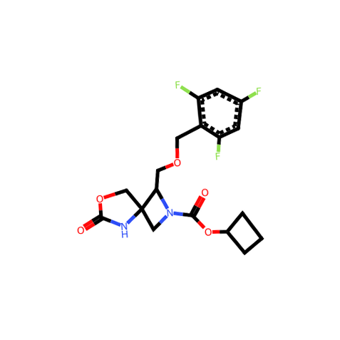 O=C1NC2(CO1)CN(C(=O)OC1CCC1)C2COCc1c(F)cc(F)cc1F